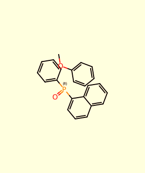 COc1ccccc1[P@@](=O)(c1ccccc1)c1cccc2ccccc12